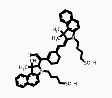 CC1(C)C(=CC=C2C=C(C(=CCl)C3N(CCCCS(=O)(=O)O)c4ccc5ccccc5c4C3(C)C)CCC2)N(CCCCS(=O)(=O)O)c2ccc3ccccc3c21